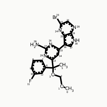 COCOC(C)(c1cccc(F)c1)c1cc(-c2c[nH]c3ncc(Br)nc23)nc(N)n1